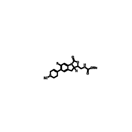 COC(=O)NCC1OC(=O)N2c3cc(F)c(C4=CCN(C#N)CC4)cc3C[C@@H]12